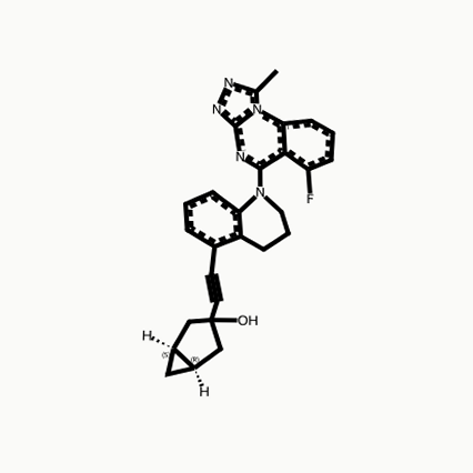 Cc1nnc2nc(N3CCCc4c(C#CC5(O)C[C@H]6C[C@H]6C5)cccc43)c3c(F)cccc3n12